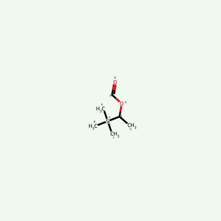 CC(O[C]=O)[Si](C)(C)C